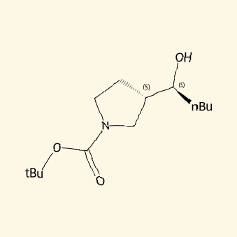 CCCC[C@H](O)[C@H]1CCN(C(=O)OC(C)(C)C)C1